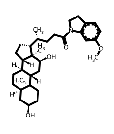 COc1ccc2c(c1)N(C(=O)CC[C@@H](C)[C@H]1CC[C@H]3[C@@H]4CC[C@@H]5C[C@H](O)CC[C@]5(C)[C@H]4C[C@H](O)[C@]13C)CC2